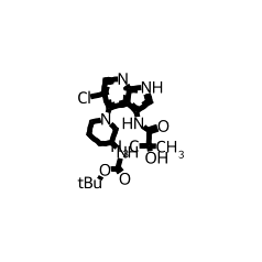 CC(C)(C)OC(=O)NC1CCCN(c2c(Cl)cnc3[nH]cc(NC(=O)C(C)(C)O)c23)C1